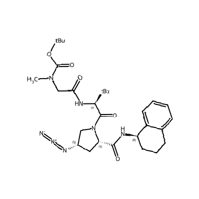 CN(CC(=O)N[C@H](C(=O)N1C[C@@H](N=[N+]=[N-])C[C@H]1C(=O)N[C@@H]1CCCc2ccccc21)C(C)(C)C)C(=O)OC(C)(C)C